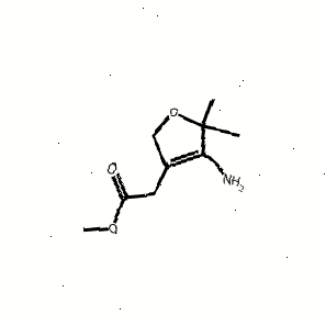 COC(=O)CC1=C(N)C(C)(C)OC1